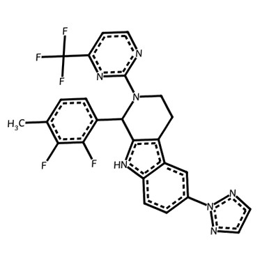 Cc1ccc(C2c3[nH]c4ccc(-n5nccn5)cc4c3CCN2c2nccc(C(F)(F)F)n2)c(F)c1F